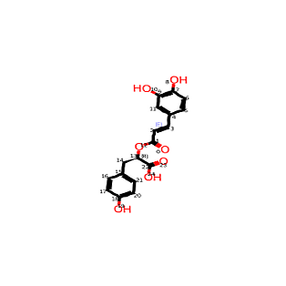 O=C(/C=C/c1ccc(O)c(O)c1)O[C@H](Cc1ccc(O)cc1)C(=O)O